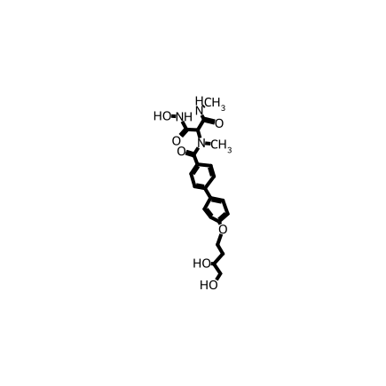 CNC(=O)C(C(=O)NO)N(C)C(=O)c1ccc(-c2ccc(OCCC(O)CO)cc2)cc1